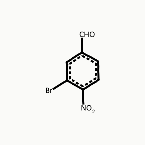 O=Cc1ccc([N+](=O)[O-])c(Br)c1